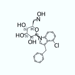 ON=C[C@H]1O[C@@H](n2cc(Cc3ccccc3)c3c(Cl)cccc32)[C@H](O)[C@@H](O)[C@@H]1O